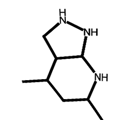 CC1CC(C)C2CNNC2N1